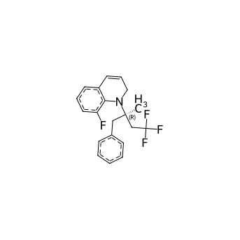 C[C@@](Cc1ccccc1)(CC(F)(F)F)N1CC=Cc2cccc(F)c21